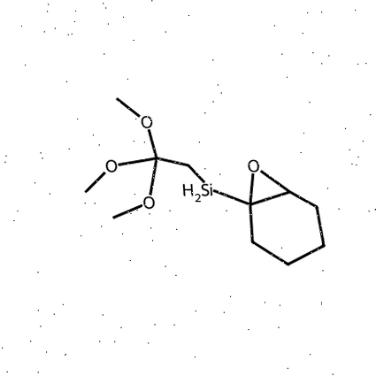 COC(C[SiH2]C12CCCCC1O2)(OC)OC